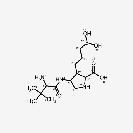 CC(C)(C)C(N)C(=O)NC1CNC(C(=O)O)C1CCCB(O)O